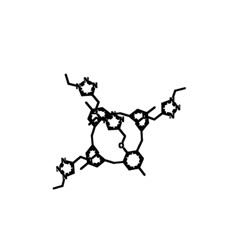 CCn1cc(COc2c3cc(C)cc2Cc2cc(C)cc(c2OCc2cn(CC)nn2)Cc2cc(C)cc(c2OCc2cn(CC)nn2)Cc2cc(C)cc(c2OCc2cn(CC)nn2)C3)nn1